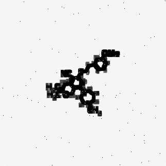 COc1cccc(CCSc2nc(N3CCCN(C)CC3)c3c(c2C#N)CC(C)(C)OC3)c1